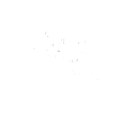 C[C@@H]1C[C@H]2[C@@H]3C[C@H](F)C4=CC(=O)C=C[C@]4(C)[C@@]3(F)[C@@H](O)C[C@]2(C)[C@H]1C(=S)OOC(=O)C1CCCCC1